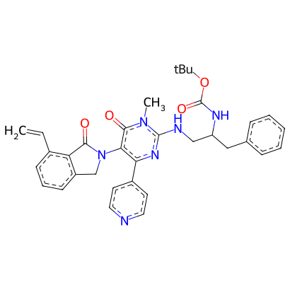 C=Cc1cccc2c1C(=O)N(c1c(-c3ccncc3)nc(NCC(Cc3ccccc3)NC(=O)OC(C)(C)C)n(C)c1=O)C2